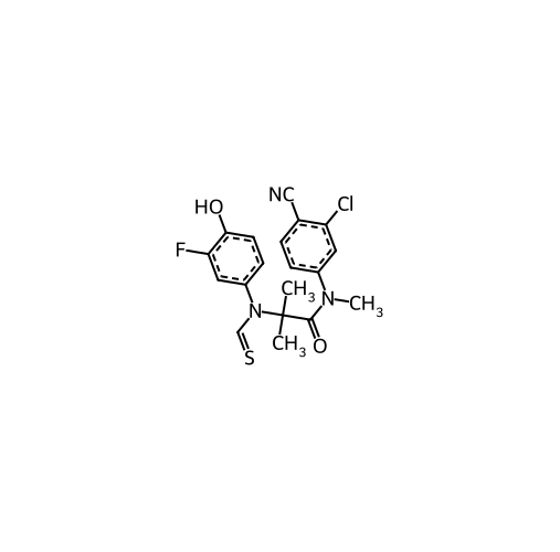 CN(C(=O)C(C)(C)N(C=S)c1ccc(O)c(F)c1)c1ccc(C#N)c(Cl)c1